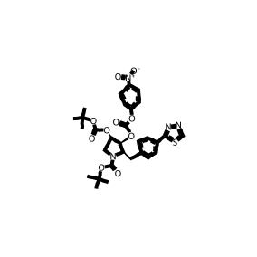 CC(C)(C)OC(=O)O[C@H]1CN(C(=O)OC(C)(C)C)[C@H](Cc2ccc(-c3nncs3)cc2)[C@@H]1OC(=O)Oc1ccc([N+](=O)[O-])cc1